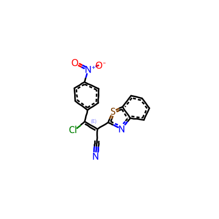 N#C/C(=C(\Cl)c1ccc([N+](=O)[O-])cc1)c1nc2ccccc2s1